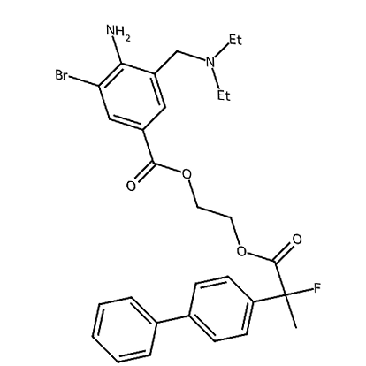 CCN(CC)Cc1cc(C(=O)OCCOC(=O)C(C)(F)c2ccc(-c3ccccc3)cc2)cc(Br)c1N